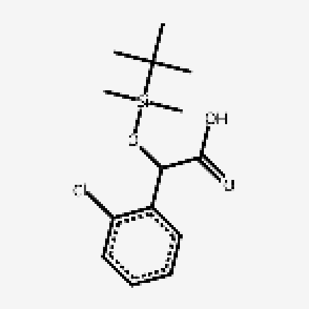 CC(C)(C)[Si](C)(C)OC(C(=O)O)c1ccccc1Cl